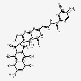 COC1=CC(=O)c2c(O)c3c(c(O)c2C1=O)C(=O)[C@]1(CCc2cc4cc(C=NNC(=O)c5ccc(N)c(Br)c5)[nH]c(=O)c4c(O)c21)C3=O